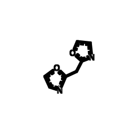 c1coc(Cc2ncco2)n1